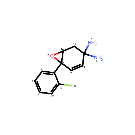 NC1(N)C=CC2(c3ccccc3F)OC2C1